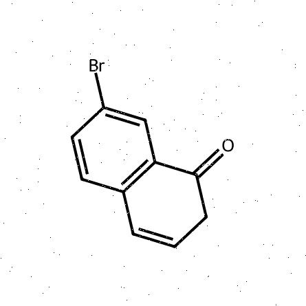 O=C1CC=Cc2ccc(Br)cc21